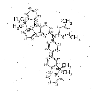 Cc1cc(C)cc(N(c2ccc(-c3ccc4c(c3)C(C)(C)C3=C4CCC=C3)cc2)c2ccc3c(c2)c2cccc4c2n3-c2ccccc2C4(C)C)c1